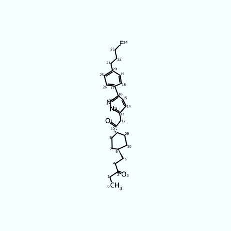 CCC(=O)CC[C@H]1CC[C@H](C(=O)Cc2ccc(-c3ccc(CCCF)cc3)nn2)CC1